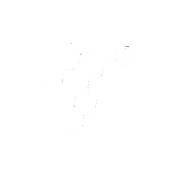 NCC1CCN(CCCn2ccnn2)CC1.O=C(O)/C=C/C(=O)O